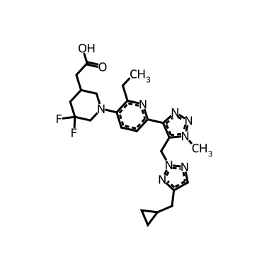 CCc1nc(-c2nnn(C)c2Cn2ncc(CC3CC3)n2)ccc1N1CC(CC(=O)O)CC(F)(F)C1